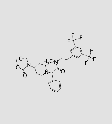 CN(CCc1cc(C(F)(F)F)cc(C(F)(F)F)c1)C(=O)C(c1ccccc1)N1CCC(N2CCCOC2=O)CC1